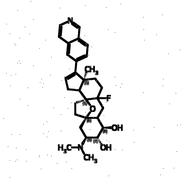 CN(C)[C@H]1C[C@@]23CC[C@]4(O2)C2CC=C(c5ccc6cnccc6c5)[C@@]2(C)CCC4(F)CC3[C@@H](O)[C@@H]1O